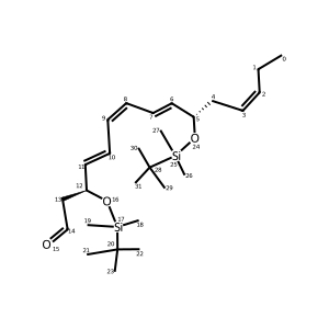 CC/C=C\C[C@@H](/C=C/C=C\C=C\[C@H](CC=O)O[Si](C)(C)C(C)(C)C)O[Si](C)(C)C(C)(C)C